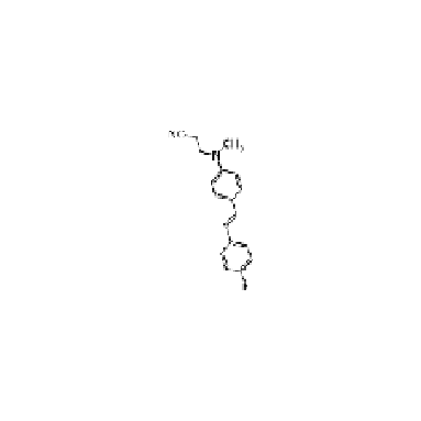 CN(CCC#N)c1ccc(/C=C/c2ccc(F)cc2)cc1